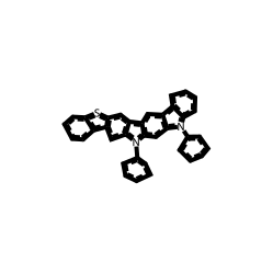 c1ccc(-n2c3ccccc3c3cc4c5cc6sc7ccccc7c6cc5n(-c5ccccc5)c4cc32)cc1